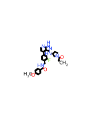 C=CC(=O)N1CC[C@@H](Nc2n[nH]c3nccc(-c4ccc(CNC(=O)c5ccc(OC)cc5)c(F)c4)c23)C1